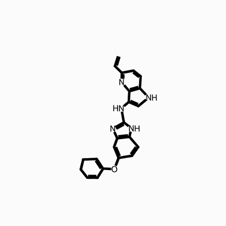 C=Cc1ccc2[nH]cc(Nc3nc4cc(OC5=CCCC=C5)ccc4[nH]3)c2n1